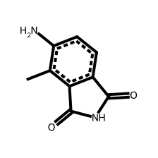 Cc1c(N)ccc2c1C(=O)NC2=O